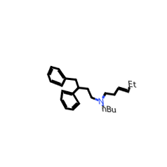 CCC=CCCN(CCCC)CCC(Cc1ccccc1)c1ccccc1